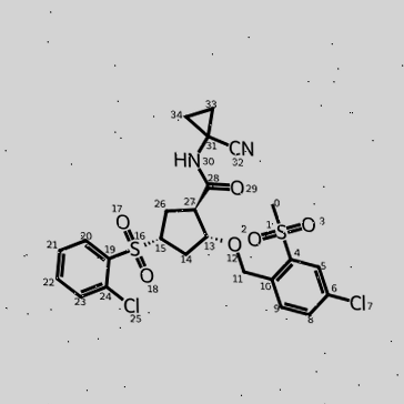 CS(=O)(=O)c1cc(Cl)ccc1CO[C@@H]1C[C@H](S(=O)(=O)c2ccccc2Cl)C[C@H]1C(=O)NC1(C#N)CC1